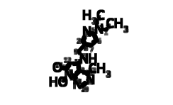 CCN(CC)c1ccc(CNc2cc(=O)n(O)c3ncnc(C)c23)cn1